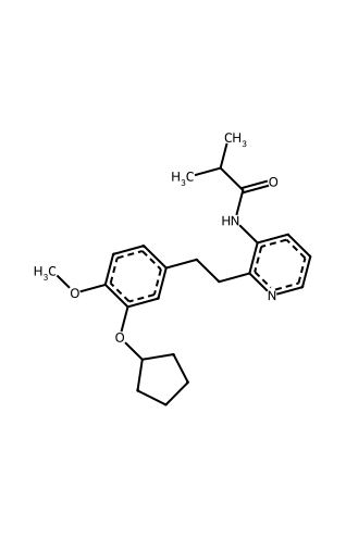 COc1ccc(CCc2ncccc2NC(=O)C(C)C)cc1OC1CCCC1